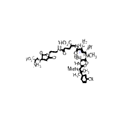 CN[C@H](C(=O)N[C@H](C(=O)N(C)[C@H](/C=C(\C)C(=O)N[C@H](CCC(=O)NCCN1C(=O)CC(SC[C@H](N)C(=O)O)C1=O)C(=O)O)C(C)C)C(C)(C)C)C(C)(C)c1cccc(C#N)c1